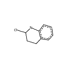 ClC1CCc2ccccc2[N]1